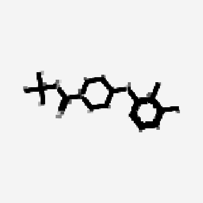 Cc1cccc(OC2CCN(C(=O)OC(C)(C)C)CC2)c1C